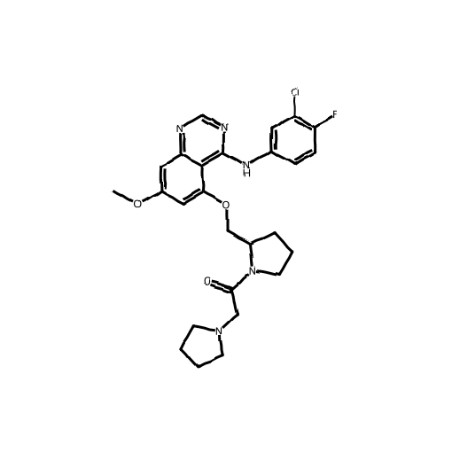 COc1cc(OCC2CCCN2C(=O)CN2CCCC2)c2c(Nc3ccc(F)c(Cl)c3)ncnc2c1